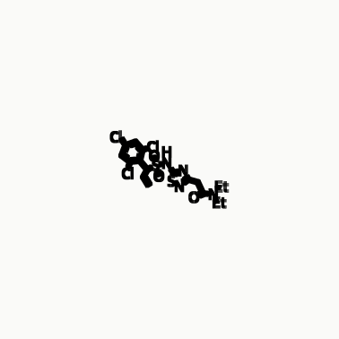 C=CC(c1c(Cl)cc(Cl)cc1Cl)S(=O)(=O)Nc1nc(CC(=O)N(CC)CC)ns1